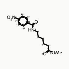 COC(=O)CCCCCNC(=O)c1ccc([N+](=O)[O-])cc1